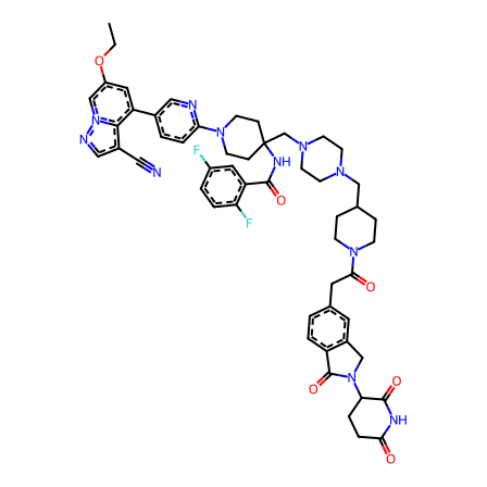 CCOc1cc(-c2ccc(N3CCC(CN4CCN(CC5CCN(C(=O)Cc6ccc7c(c6)CN(C6CCC(=O)NC6=O)C7=O)CC5)CC4)(NC(=O)c4cc(F)ccc4F)CC3)nc2)c2c(C#N)cnn2c1